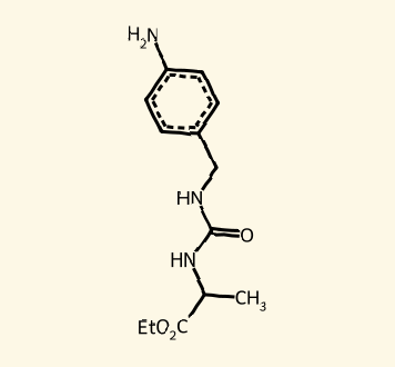 CCOC(=O)C(C)NC(=O)NCc1ccc(N)cc1